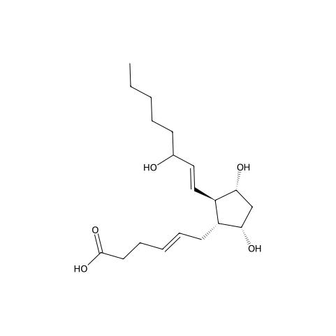 CCCCCC(O)/C=C/[C@@H]1[C@@H](C/C=C/CCC(=O)O)[C@@H](O)C[C@H]1O